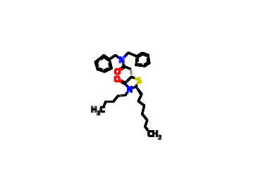 CCCCCCC[C@@H]1S[C@@H](CC(=O)N(Cc2ccccc2)Cc2ccccc2)C(=O)N1CCCCC